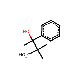 CC(C)(C(=O)O)C(C)(O)c1ccccc1